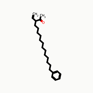 C=CC(CCCCCCCCCCCCCc1ccccc1)C(C)=O